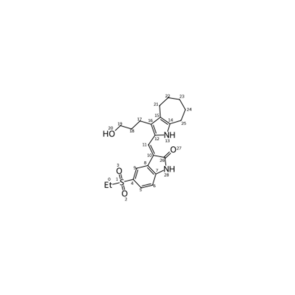 CCS(=O)(=O)c1ccc2c(c1)/C(=C/c1[nH]c3c(c1CCCO)CCCCC3)C(=O)N2